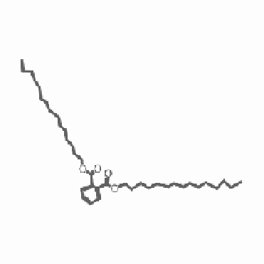 CCCCCCCCCCCCCCCOC(=O)c1ccccc1C(=O)OCCCCCCCCCCCCCCC